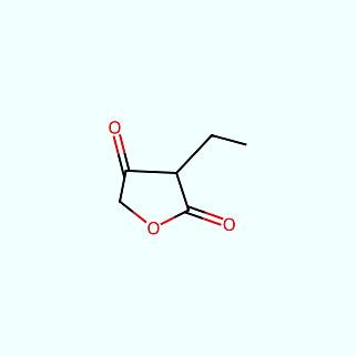 CCC1C(=O)COC1=O